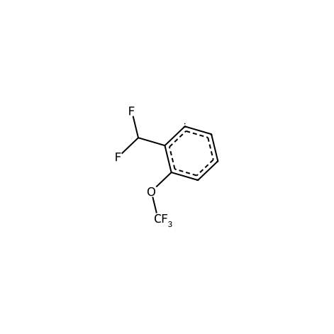 FC(F)c1[c]cccc1OC(F)(F)F